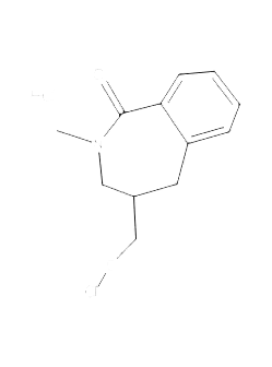 CN1CC(CCCl)Cc2ccccc2C1=O.Cl